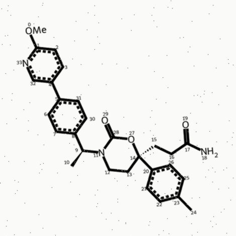 COc1ccc(-c2ccc([C@H](C)N3CC[C@](CCC(N)=O)(c4ccc(C)cc4)OC3=O)cc2)cn1